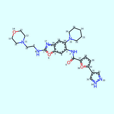 O=C(Nc1cc2oc(NCCN3CCOCC3)nc2cc1N1CCCCC1)c1ccc(-c2cn[nH]c2)o1